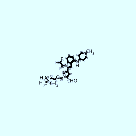 CN1CCC(Nc2cccc3c2cc(-c2cc(C=O)n(COCC[Si](C)(C)C)n2)n3C(F)C(F)F)CC1